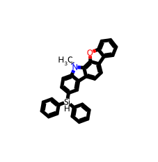 Cn1c2ccc([SiH](c3ccccc3)c3ccccc3)cc2c2ccc3c4ccccc4oc3c21